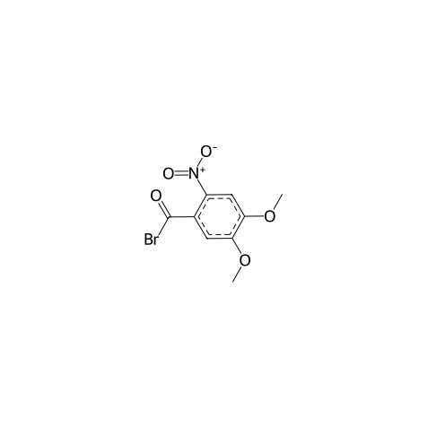 COc1cc(C(=O)Br)c([N+](=O)[O-])cc1OC